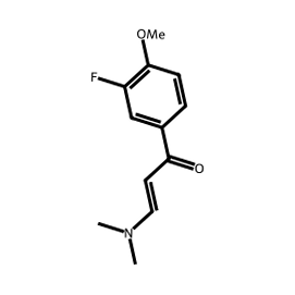 COc1ccc(C(=O)C=CN(C)C)cc1F